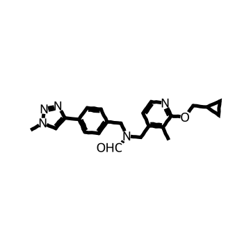 Cc1c(CN(C=O)Cc2ccc(-c3cn(C)nn3)cc2)ccnc1OCC1CC1